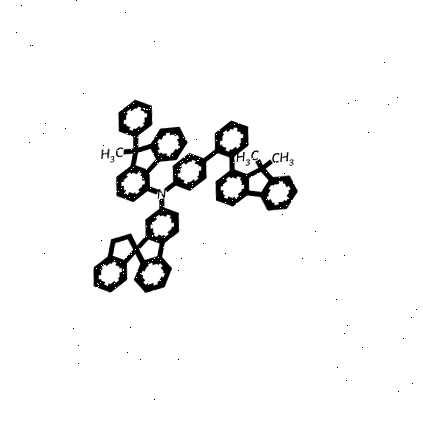 CC1(C)c2ccccc2-c2cccc(-c3ccccc3-c3ccc(N(c4ccc5c(c4)C4(CCc6ccccc64)c4ccccc4-5)c4cccc5c4-c4ccccc4C5(C)c4ccccc4)cc3)c21